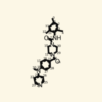 Cc1cc(C)c(NC(=O)N2CCN(C(=O)c3ccc(N(C)c4ccncc4)cc3)CC2)c(C)c1